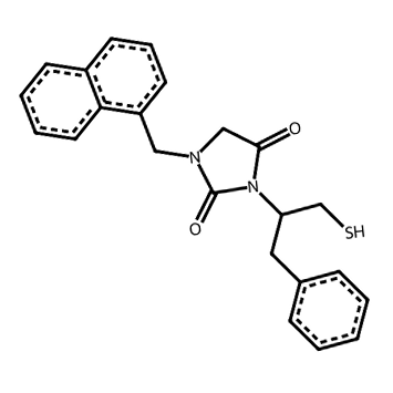 O=C1CN(Cc2cccc3ccccc23)C(=O)N1C(CS)Cc1ccccc1